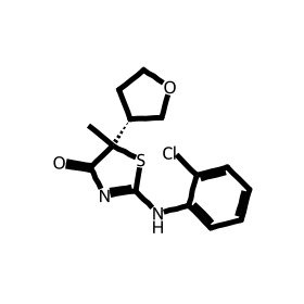 CC1([C@@H]2CCOC2)SC(Nc2ccccc2Cl)=NC1=O